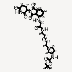 CC(C)(C)OC(=O)N[C@H]1CCN(CCOCCNC(=O)CNc2cccc3c2C(=O)N(C2CCC(=O)NC2=O)C3=O)C1